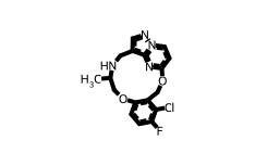 CC1COc2ccc(F)c(Cl)c2COc2ccn3ncc(c3n2)CN1